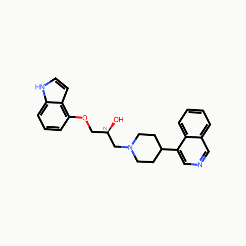 O[C@H](COc1cccc2[nH]ccc12)CN1CCC(c2cncc3ccccc23)CC1